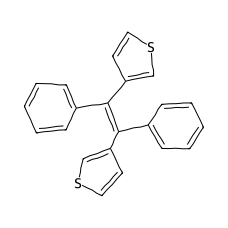 c1ccc(C(=C(c2ccccc2)c2ccsc2)c2ccsc2)cc1